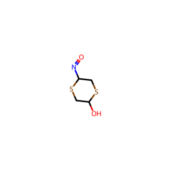 O=NC1CSC(O)CS1